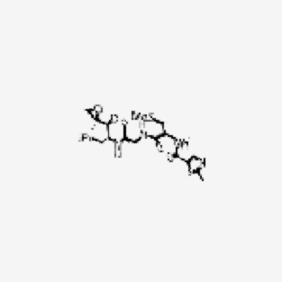 CSC[C@@H](NC(=O)c1cnc(C)s1)C(=O)NCC(=O)N[C@@H](CC(C)C)C(=O)[C@@]1(C)CO1